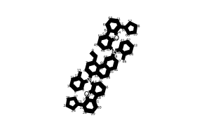 C=Cc1ccc(N(c2ccccc2C)c2cccc3c2oc2c(C4CCCC4)cccc23)c2ccc3ccc(N(c4ccccc4C)c4cccc5c4oc4c(C6CCCC6)cccc45)cc3c12